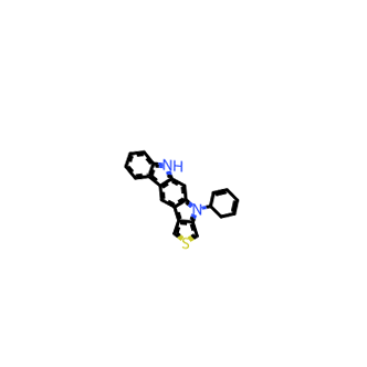 C1=CCC(n2c3cscc3c3cc4c(cc32)[nH]c2ccccc24)C=C1